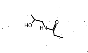 CCC(=O)NCC(C)O